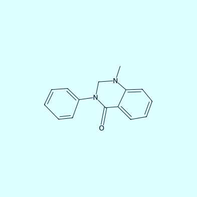 CN1CN(c2ccccc2)C(=O)c2ccccc21